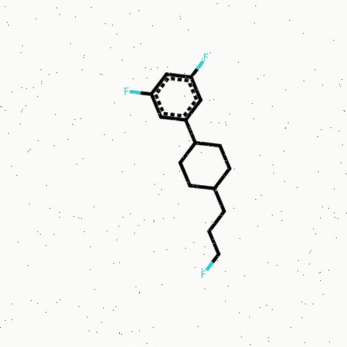 FCCCC1CCC(c2cc(F)cc(F)c2)CC1